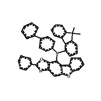 CC1(C)c2ccccc2-c2c(N(c3ccc(-c4ccccc4)cc3)c3c4oc(-c5ccccc5)nc4cc4oc5ccccc5c34)cccc21